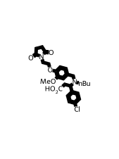 CCCCN(Cc1ccc(OCCN2C(=O)CCC2=O)c(OC)c1)C(CC(=O)O)c1ccc(Cl)cc1